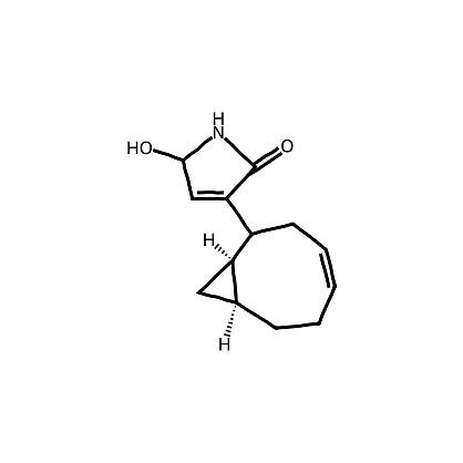 O=C1NC(O)C=C1C1C/C=C\CC[C@H]2C[C@@H]12